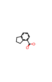 [O]C(=O)c1cccc2c1CCC2